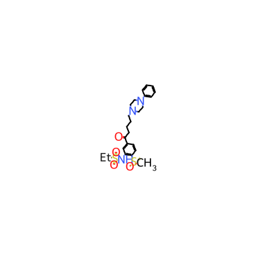 CCS(=O)(=O)Nc1cc(C(=O)CCCCN2CCN(c3ccccc3)CC2)ccc1[S+](C)[O-]